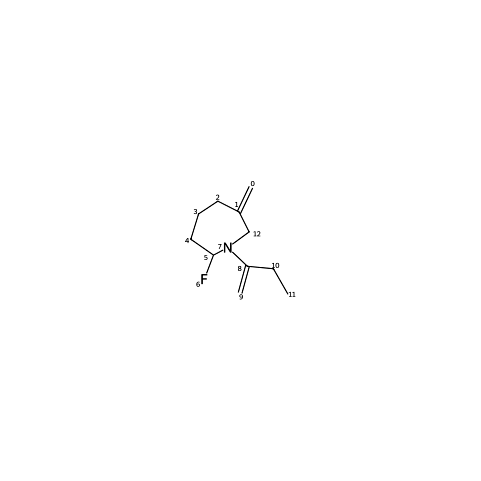 C=C1CCCC(F)N(C(=C)CC)C1